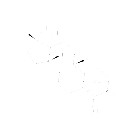 C[C@]12C=CC(=O)C(O)=C1CC[C@@H]1[C@@H]2CC[C@@]2(C)[C@H]1CC[C@]2(C)O